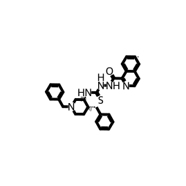 O=C(NNC(=S)N[C@H]1CN(Cc2ccccc2)CC[C@H]1Cc1ccccc1)c1nccc2c[c]ccc12